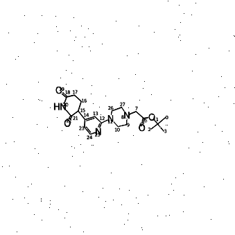 CC(C)(C)OC(=O)CN1CCN(c2cc(C3CCC(=O)NC3=O)ccn2)CC1